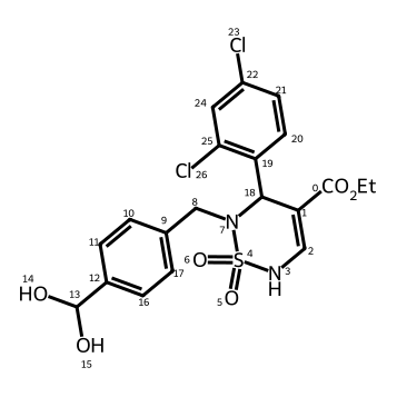 CCOC(=O)C1=CNS(=O)(=O)N(Cc2ccc(C(O)O)cc2)C1c1ccc(Cl)cc1Cl